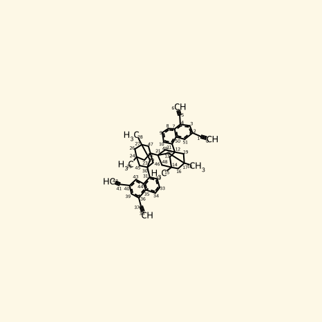 C#Cc1cc(C#C)c2cccc(C34CC5(C)CC(C)(C3)CC(C36CC7(C)CC(C)(CC(c8cccc9c(C#C)cc(C#C)cc89)(C7)C3)C6)(C5)C4)c2c1